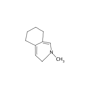 CN1C=C2CCCCC2=CC1